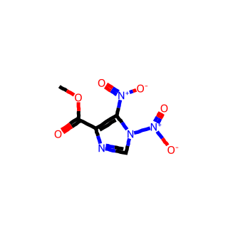 COC(=O)c1ncn([N+](=O)[O-])c1[N+](=O)[O-]